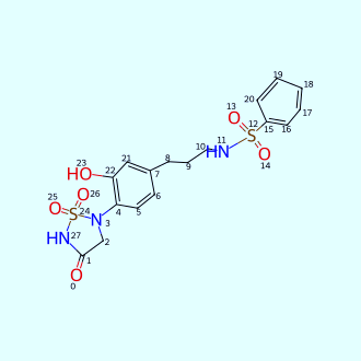 O=C1CN(c2ccc(CCCNS(=O)(=O)c3ccccc3)cc2O)S(=O)(=O)N1